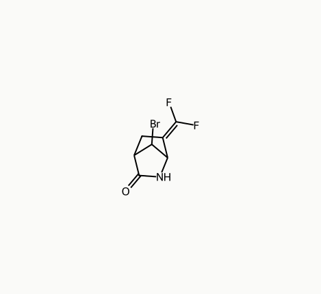 O=C1NC2C(=C(F)F)CC1C2Br